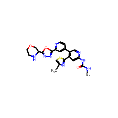 CCNC(=O)Nc1cc(-c2nc(C(F)(F)F)cs2)c(-c2ccnc(-c3nnc(C4COCCN4)o3)c2)cn1